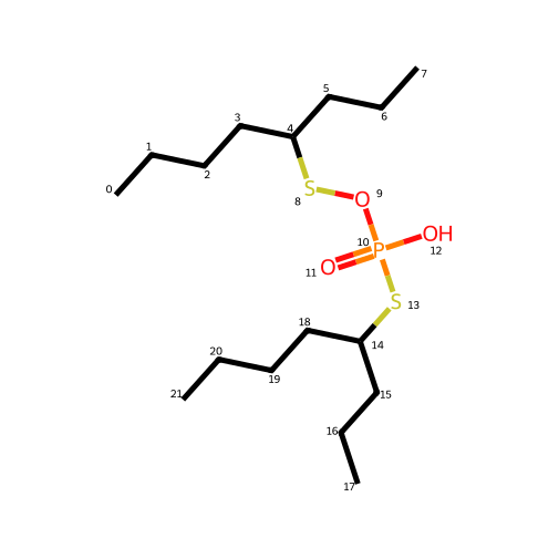 CCCCC(CCC)SOP(=O)(O)SC(CCC)CCCC